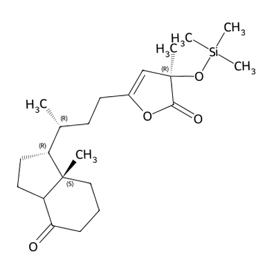 C[C@H](CCC1=C[C@@](C)(O[Si](C)(C)C)C(=O)O1)[C@H]1CCC2C(=O)CCC[C@]21C